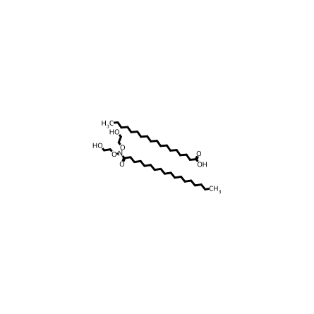 CCCCCCCCCCCCCCCCCC(=O)N(OCCO)OCCO.CCCCCCCCCCCCCCCCCC(=O)O